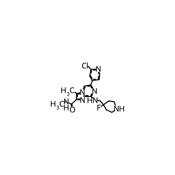 CNC(=O)c1nc2c(NCC3(F)CCNCC3)nc(-c3ccnc(Cl)c3)cn2c1C